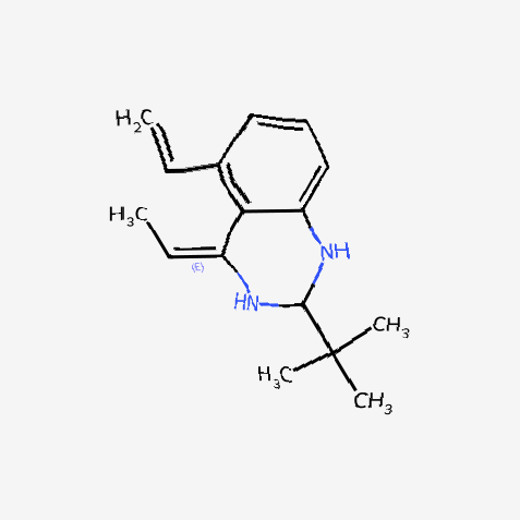 C=Cc1cccc2c1/C(=C\C)NC(C(C)(C)C)N2